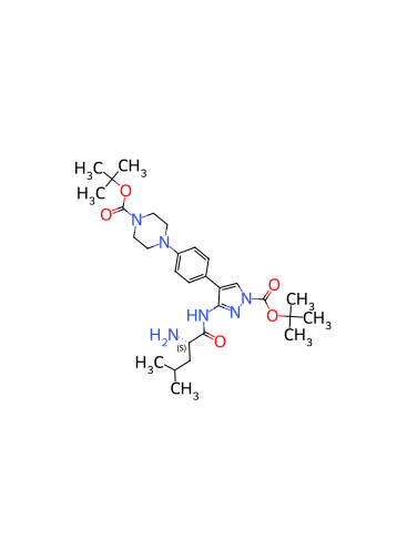 CC(C)C[C@H](N)C(=O)Nc1nn(C(=O)OC(C)(C)C)cc1-c1ccc(N2CCN(C(=O)OC(C)(C)C)CC2)cc1